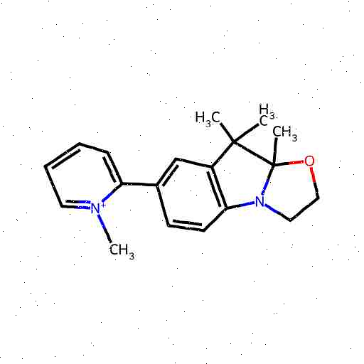 C[n+]1ccccc1-c1ccc2c(c1)C(C)(C)C1(C)OCCN21